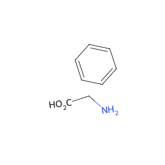 NCC(=O)O.c1ccccc1